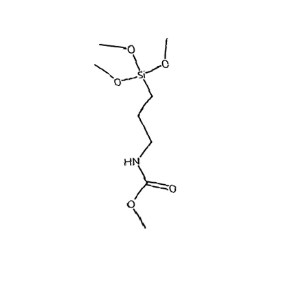 COC(=O)NCCC[Si](OC)(OC)OC